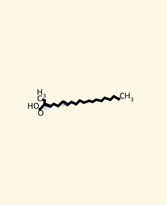 CCCCCCCCCCCCC/C=C/CC/C=C(\CC)C(=O)O